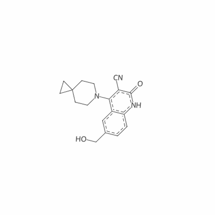 N#Cc1c(N2CCC3(CC2)CC3)c2cc(CO)ccc2[nH]c1=O